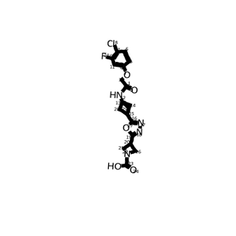 O=C(COc1ccc(Cl)c(F)c1)NC12CC(c3nnc(C4CN(C(=O)O)C4)o3)(C1)C2